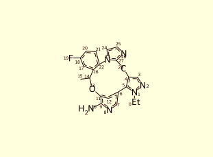 CCn1ncc2c1-c1cnc(N)c(c1)OC(C)c1cc(F)ccc1-n1ccnc1C2